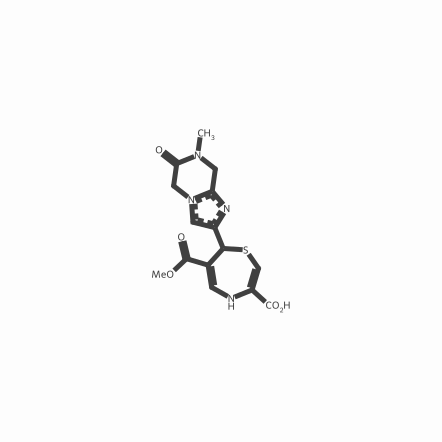 COC(=O)C1=CNC(C(=O)O)=CSC1c1cn2c(n1)CN(C)C(=O)C2